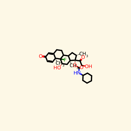 C[C@H]1CC2C3CCC4=CC(=O)C=C[C@]4(C)C3(F)[C@@H](O)C[C@]2(C)[C@]1(OC(=O)NC1CCCCC1)C(=O)CO